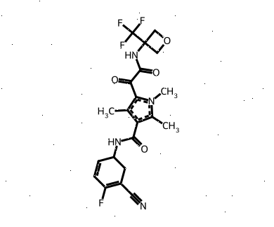 Cc1c(C(=O)NC2C=CC(F)=C(C#N)C2)c(C)n(C)c1C(=O)C(=O)NC1(C(F)(F)F)COC1